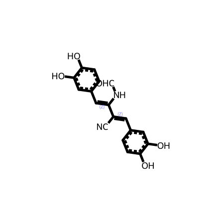 N#CC(=C\c1ccc(O)c(O)c1)/C(=C/c1ccc(O)c(O)c1)NC=O